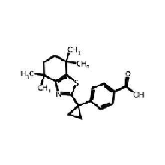 CC1(C)CCC(C)(C)c2sc(C3(c4ccc(C(=O)O)cc4)CC3)nc21